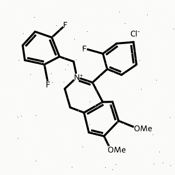 COc1cc2c(cc1OC)C(c1ccccc1F)=[N+](Cc1c(F)cccc1F)CC2.[Cl-]